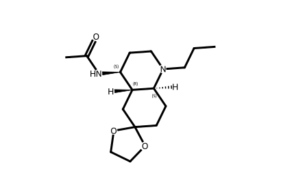 CCCN1CC[C@H](NC(C)=O)[C@H]2CC3(CC[C@@H]21)OCCO3